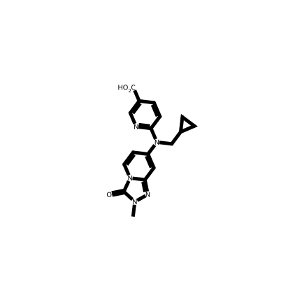 Cn1nc2cc(N(CC3CC3)c3ccc(C(=O)O)cn3)ccn2c1=O